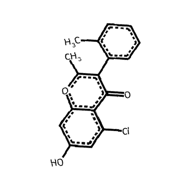 Cc1ccccc1-c1c(C)oc2cc(O)cc(Cl)c2c1=O